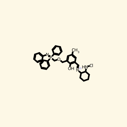 Cc1cc(/C=N/C2CCCCC2NCl)c(O)c(COCP(=Nc2ccccc2)(c2ccccc2)c2ccccc2)c1